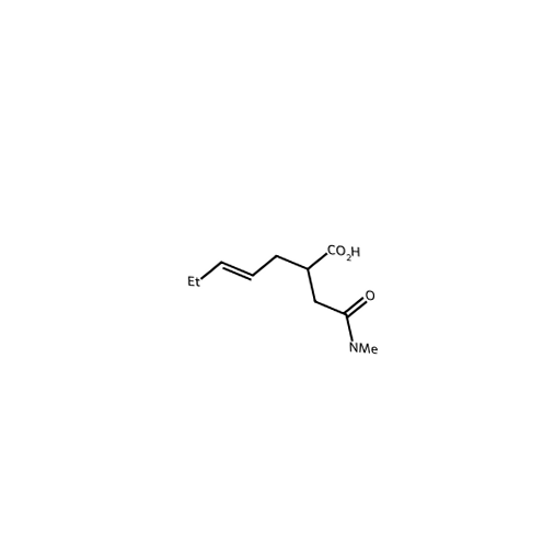 CCC=CCC(CC(=O)NC)C(=O)O